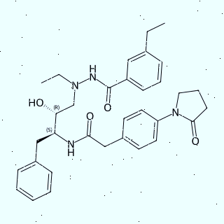 CCc1cccc(C(=O)NN(CC)C[C@@H](O)[C@H](Cc2ccccc2)NC(=O)Cc2ccc(N3CCCC3=O)cc2)c1